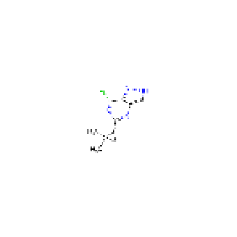 CC1(C)CC1c1nc(Cl)c2n[nH]cc2n1